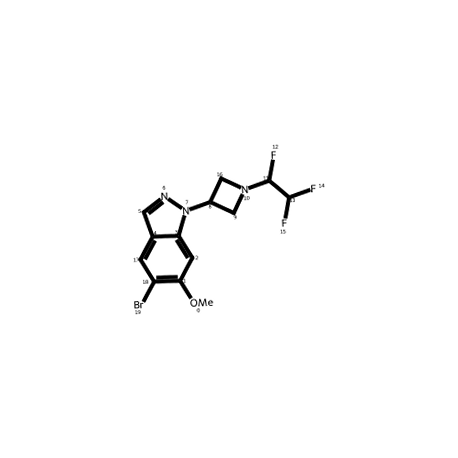 COc1cc2c(cnn2C2CN(C(F)C(F)F)C2)cc1Br